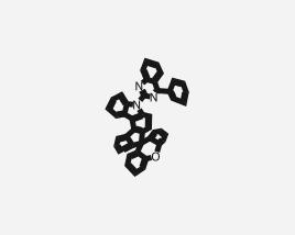 c1ccc(-c2nc(-n3c4ccccc4c4c5c(ccc43)C3(c4ccccc4Oc4ccccc43)c3ccccc3-5)nc3ccccc23)cc1